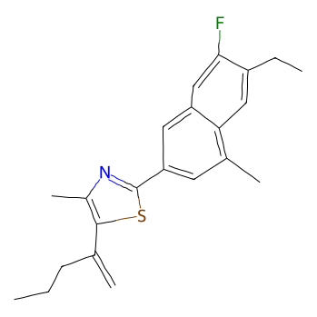 C=C(CCC)c1sc(-c2cc(C)c3cc(CC)c(F)cc3c2)nc1C